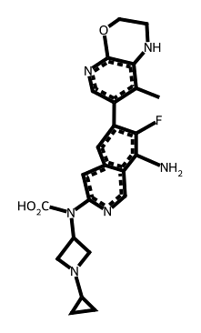 Cc1c(-c2cc3cc(N(C(=O)O)C4CN(C5CC5)C4)ncc3c(N)c2F)cnc2c1NCCO2